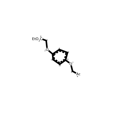 CCOC(=O)COc1ccc(OCC(C)=O)cc1